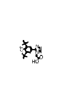 COc1c(C(C)(C)C)cc(-c2nnnn2CC(=O)O)cc1C(C)(C)C